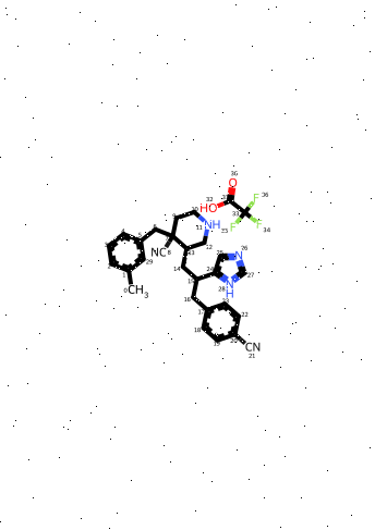 Cc1cccc(CC2(C#N)CCNCC2CC(Cc2ccc(C#N)cc2)c2cnc[nH]2)c1.O=C(O)C(F)(F)F